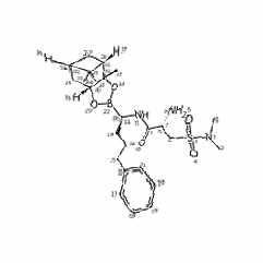 CN(C)S(=O)(=O)C[C@@H](N)C(=O)N[C@@H](CCCc1ccccc1)B1O[C@@H]2C[C@@H]3C[C@@H](C3(C)C)[C@]2(C)O1